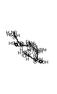 CCNC[C@@](N)(CNCCNC[C@](CN)(NC)NC(=O)CCCC(=O)N[C@@H](Cc1ccc(O)cc1)C(=O)NCCCCCC(=O)N[C@@H](CS)C(N)=O)NC(=O)CCCC(=O)N[C@@H](Cc1ccc(O)cc1)C(=O)NCCCCCC(=O)N[C@@H](CS)C(N)=O